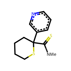 CNC(=S)C1(c2cccnc2)CCCCS1